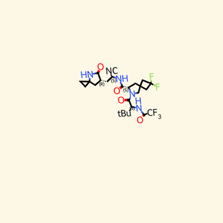 CC(C)(C)[C@H](NC(=O)C(F)(F)F)C(=O)N1CC2(C[C@H]1C(=O)N[C@H](C#N)C[C@@H]1CC3(CC3)NC1=O)CC(F)(F)C2